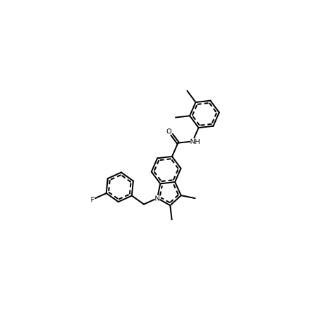 Cc1cccc(NC(=O)c2ccc3c(c2)c(C)c(C)n3Cc2cccc(F)c2)c1C